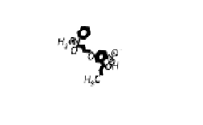 CCCC(O)c1cc(OCCCC(=O)N(C)C2CCCCC2)ccc1[N+](=O)[O-]